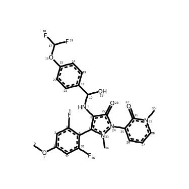 COc1cc(F)c(-c2c(NC(O)c3ccc(OC(F)F)cc3)c(=O)n(-c3cccn(C)c3=O)n2C)c(F)c1